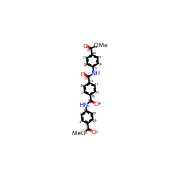 COC(=O)c1ccc(NC(=O)c2ccc(C(=O)Nc3ccc(C(=O)OC)cc3)cc2)cc1